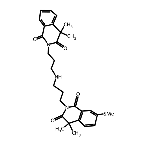 CSc1ccc2c(c1)C(=O)N(CCCNCCCN1C(=O)c3ccccc3C(C)(C)C1=O)C(=O)C2(C)C